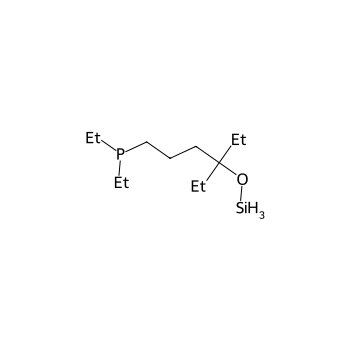 CCP(CC)CCCC(CC)(CC)O[SiH3]